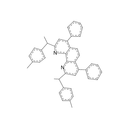 Cc1ccc(C(C)c2cc(-c3ccccc3)c3ccc4c(-c5ccccc5)cc(C(C)c5ccc(C)cc5)nc4c3n2)cc1